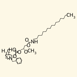 CCCCCCCCCCCCCCCCNC(=O)OCC(COP(O)Oc1ccccc1C[n+]1csc(C)c1)OC